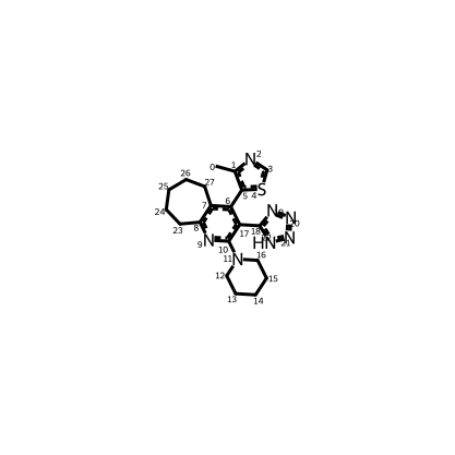 Cc1ncsc1-c1c2c(nc(N3CCCCC3)c1-c1nnn[nH]1)CCCCC2